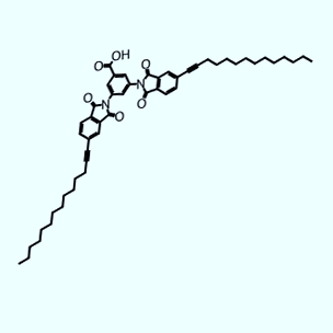 CCCCCCCCCCCCC#Cc1ccc2c(c1)C(=O)N(c1cc(C(=O)O)cc(N3C(=O)c4ccc(C#CCCCCCCCCCCCC)cc4C3=O)c1)C2=O